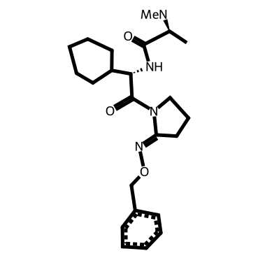 CN[C@@H](C)C(=O)N[C@H](C(=O)N1CCCC1=NOCc1ccccc1)C1CCCCC1